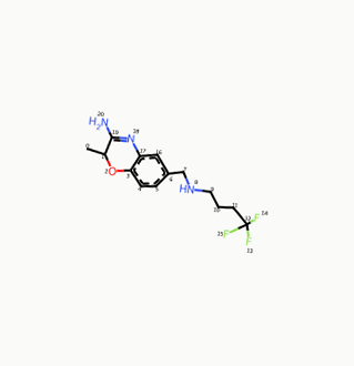 CC1Oc2ccc(CNCCCC(F)(F)F)cc2N=C1N